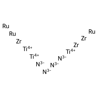 [N-3].[N-3].[N-3].[N-3].[Ru].[Ru].[Ru].[Ti+4].[Ti+4].[Ti+4].[Zr].[Zr].[Zr]